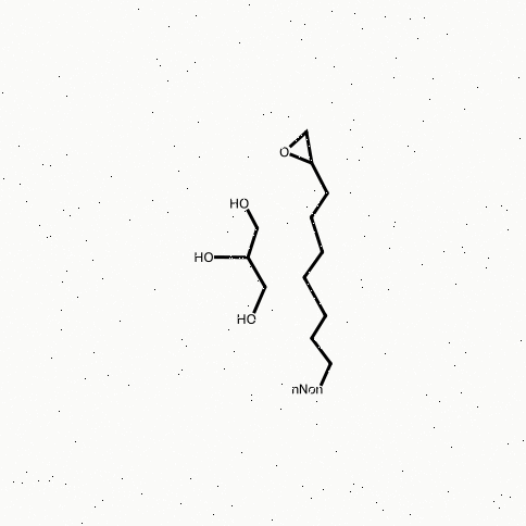 CCCCCCCCCCCCCCCCC1CO1.OCC(O)CO